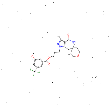 CCc1nn(CCCOC(=O)c2cc(OC)cc(C(F)(F)F)c2)c2c1C(=O)NCC1(CCOCC1)C2